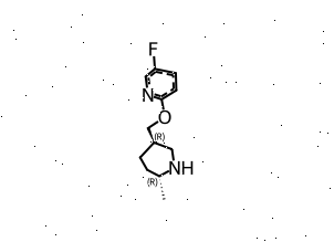 C[C@@H]1CC[C@@H](COc2ccc(F)cn2)CN1